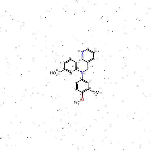 CCOc1ccc(N(Cc2cccnc2)c2cccc(C(=O)O)c2)cc1OC